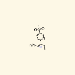 C=C/C(=C/CCC)c1ccc(S(C)(=O)=O)cn1